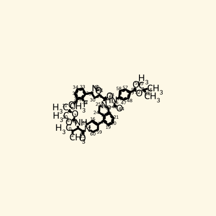 CC(C)C(NC(=O)OC(C)(C)C)C(=O)N1CC=C(c2cccc3c2CCN(C(=O)C2CC(c4cccc(Cl)c4F)=NO2)[C@@H]3C(=O)Nc2ccc(C(=O)OC(C)(C)C)cc2)CC1